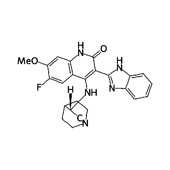 COc1cc2[nH]c(=O)c(-c3nc4ccccc4[nH]3)c(N[C@@H]3CN4CCC3CC4)c2cc1F